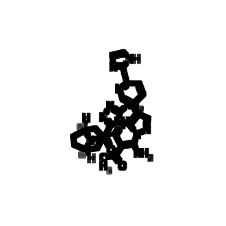 CC(=O)c1c([C@@H]2C[C@H]3CC[C@@H](C2)N3C(=O)c2nnc(N)[nH]2)nc2c(-c3ccc(-c4ncc[nH]4)nc3)cnn2c1N